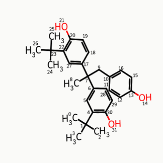 CC(C)(C)c1cc(C(C)(Cc2ccc(O)cc2)c2ccc(O)c(C(C)(C)C)c2)ccc1O